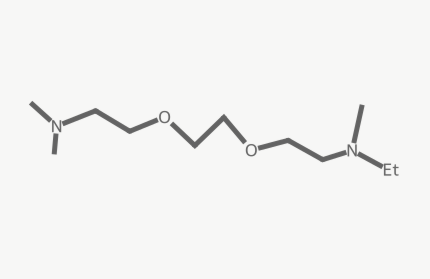 CCN(C)CCOCCOCCN(C)C